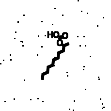 CCCCCCCCCC(C)OC(=O)O